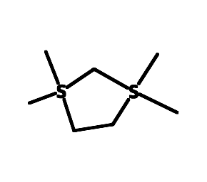 CS1(C)CCS(C)(C)C1